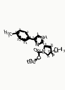 Cc1ccc(-c2c[nH]c([C@@H]3C[C@@](C)(F)CN3C(=O)OC(C)(C)C)n2)cc1